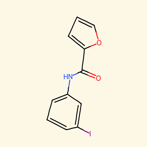 O=C(Nc1cccc(I)c1)c1ccco1